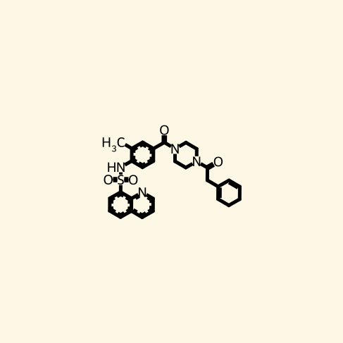 Cc1cc(C(=O)N2CCN(C(=O)CC3=CCCC=C3)CC2)ccc1NS(=O)(=O)c1cccc2cccnc12